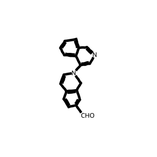 O=Cc1ccc2c(c1)CN(c1cncc3ccccc13)C=C2